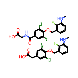 CNc1cccc(COc2c(Cl)cc(C(=O)NCC(=O)O)cc2Cl)c1F.CNc1cccc(COc2c(Cl)cc(CC(=O)O)cc2Cl)c1F